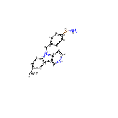 COc1ccc2c(c1)c1cnccc1n2Cc1ccc(SN)cc1